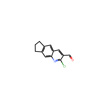 O=Cc1cc2cc3c(cc2nc1Cl)CCC3